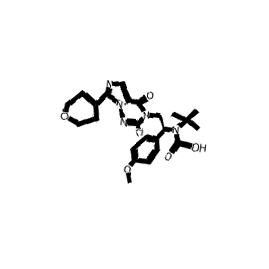 COc1ccc([C@@H](CN2C(=O)C3=CN=C(C4CCOCC4)[N+]3N=C2Cl)N(C(=O)O)C(C)(C)C)cc1